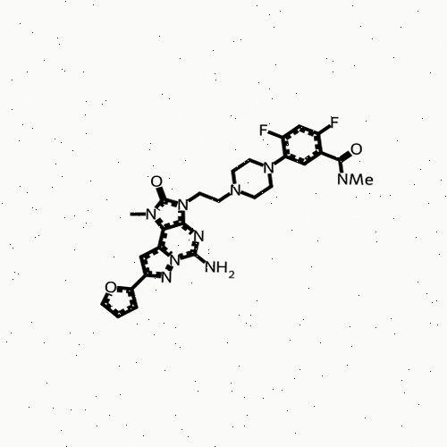 CNC(=O)c1cc(N2CCN(CCn3c(=O)n(C)c4c3nc(N)n3nc(-c5ccco5)cc43)CC2)c(F)cc1F